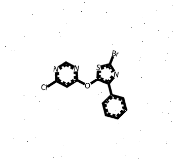 Clc1cc(Oc2sc(Br)nc2-c2ccccc2)ncn1